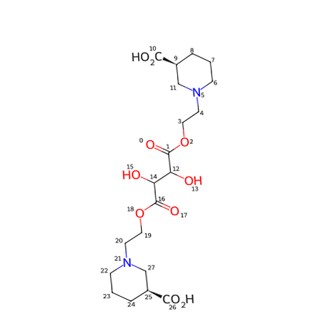 O=C(OCCN1CCC[C@H](C(=O)O)C1)C(O)C(O)C(=O)OCCN1CCC[C@H](C(=O)O)C1